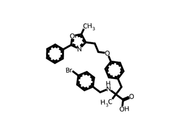 Cc1oc(-c2ccccc2)nc1CCOc1ccc(CC(C)(NCc2ccc(Br)cc2)C(=O)O)cc1